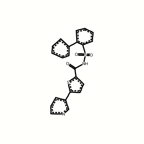 O=C(NS(=O)(=O)c1ccccc1-c1ccccc1)c1ccc(-c2cccnc2)s1